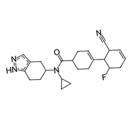 N#CC1C=CCC(F)C1C1=CCC(C(=O)N(C2CC2)C2CCc3[nH]ncc3C2)CC1